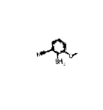 Bc1c(C#N)cccc1OC